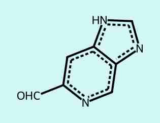 O=Cc1cc2[nH]cnc2cn1